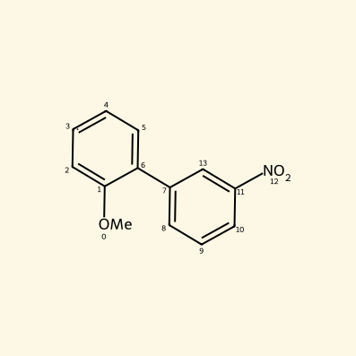 COc1c[c]ccc1-c1cccc([N+](=O)[O-])c1